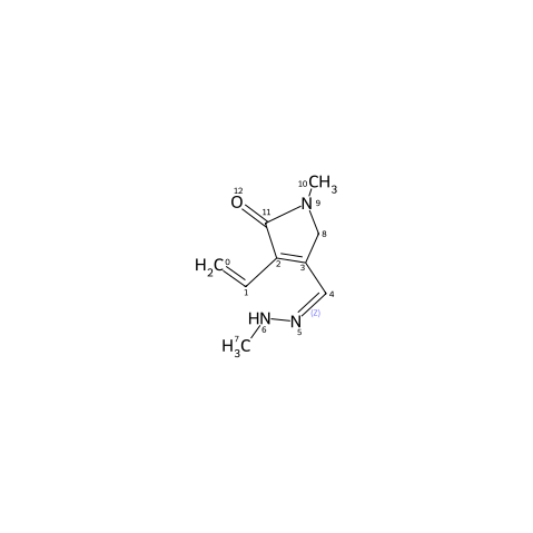 C=CC1=C(/C=N\NC)CN(C)C1=O